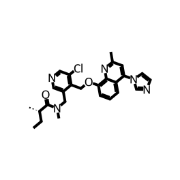 CC[C@H](C)C(=O)N(C)Cc1cncc(Cl)c1COc1cccc2c(-n3ccnc3)cc(C)nc12